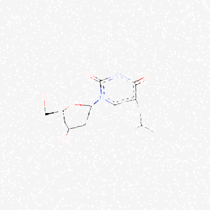 CCOC(=O)C(F)Cc1cn([C@H]2CC(O)[C@@H](CO)O2)c(=O)[nH]c1=O